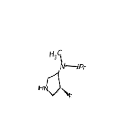 CC(C)N(C)[C@H]1CNC[C@@H]1F